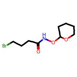 O=C(CCCBr)NOC1CCCCO1